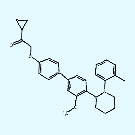 Cc1ccccc1N1CCCCC1c1ccc(-c2ccc(OCC(=O)C3CC3)cc2)cc1OC(F)(F)F